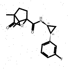 CC12CCC(C(=O)N[C@H]3C[C@@H]3c3cccc(F)c3)(OC1=O)C2(C)C